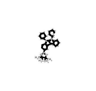 CC1(C)OB(c2ccc3c(c2)c2c4ccccc4n(-c4ccccc4)c2n3-c2ccccc2)OC1(C)C